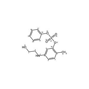 Cc1ccc(NCCO)cc1OS(=O)(=O)Oc1ccccc1